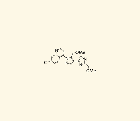 COCc1noc(-c2cnn(-c3ccnc4cc(Cl)ccc34)c2COC)n1